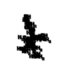 COC1(O)C=CC(C[C@H](NC(=O)CNC(=O)CNC(=O)[C@@H](N)Cc2ccc(O)cc2)C(=O)N[C@@H](CC(C)C)C(=O)N[C@@H](CCCNC(=N)N)C(=O)N[C@@H](CCCNC(=N)N)C(N)=O)=CC1